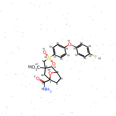 NC(=O)C12CCC(CC(CS(=O)(=O)c3ccc(Oc4ccc(F)cc4)cc3)(C(=O)O)C1)O2